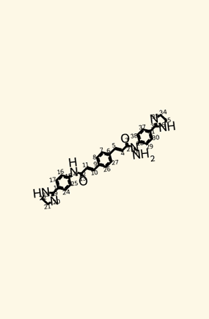 NN(C(=O)/C=C/c1ccc(/C=C/C(=O)Nc2ccc(C3=NCCN3)cc2)cc1)c1ccc(C2=NCCN2)cc1